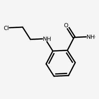 [NH]C(=O)c1ccccc1NCCCl